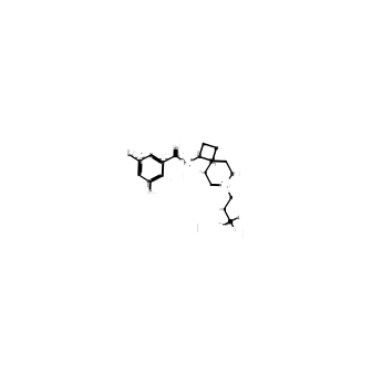 CC(C)(C)CCN1CCC2(CCC2NC(=O)c2cc(Cl)cc(Cl)c2)CC1